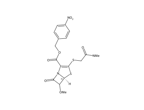 CNC(=O)CSC1=C(C(=O)OCc2ccc([N+](=O)[O-])cc2)N2C(=O)C(OC)[C@@H]2S1